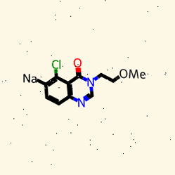 COCCn1cnc2cc[c]([Na])c(Cl)c2c1=O